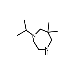 CC(C)N1CCNCC(C)(C)C1